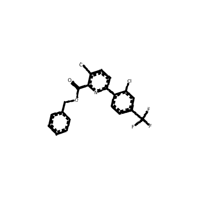 O=C(OCc1ccccc1)c1nc(-c2ccc(C(F)(F)F)cc2Cl)ccc1Cl